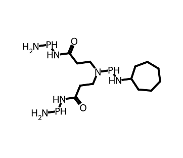 NPNC(=O)CCN(CCC(=O)NPN)PNC1CCCCCC1